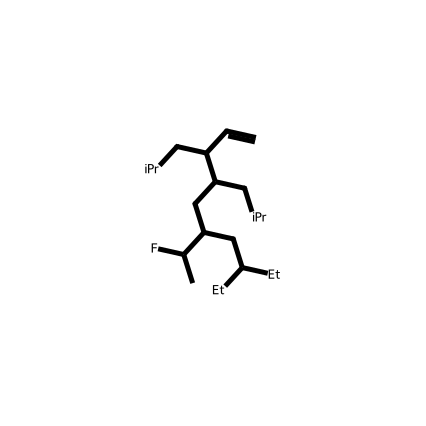 C=CC(CC(C)C)C(CC(C)C)CC(CC(CC)CC)C(C)F